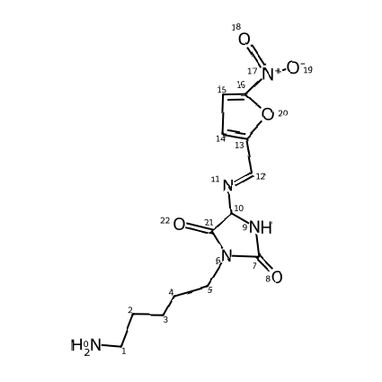 NCCCCCN1C(=O)NC(/N=C/c2ccc([N+](=O)[O-])o2)C1=O